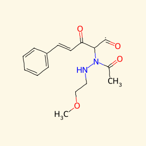 COCCNN(C(C)=O)C([C]=O)C(=O)C=Cc1ccccc1